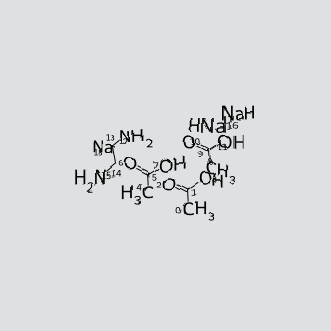 CC(=O)O.CC(=O)O.CC(=O)O.NCCN.[NaH].[NaH].[Na]